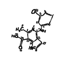 Cc1nc(Nc2cccc(Cl)c2)c2cc[nH]c2c1C(=O)O